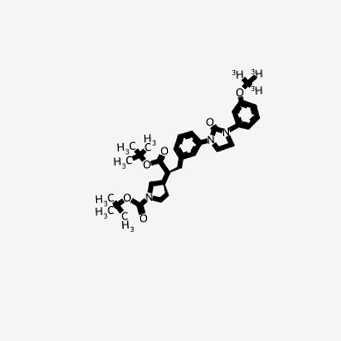 [3H]C([3H])([3H])Oc1cccc(N2CCN(c3cccc(C[C@H](C(=O)OC(C)(C)C)[C@H]4CCN(C(=O)OC(C)(C)C)C4)c3)C2=O)c1